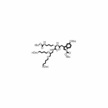 CCCCCCCCCCCCCCOCC(CNC(=O)[C@H](CCCCNC(=O)OC(C)(C)C)NC(=O)Cc1cn(C(=O)OC(C)(C)C)c2ccc(OC)cc12)OCCCCCCCCCCCCCC